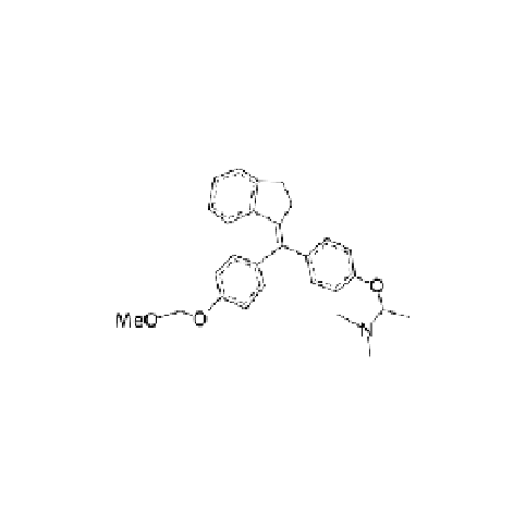 COCOc1ccc(/C(=C2/CCc3ccccc32)c2ccc(OC(C)N(C)C)cc2)cc1